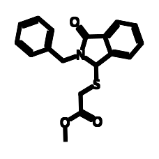 COC(=O)CSC1c2ccccc2C(=O)N1Cc1ccccc1